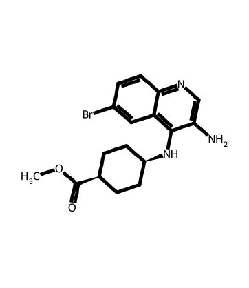 COC(=O)[C@H]1CC[C@@H](Nc2c(N)cnc3ccc(Br)cc23)CC1